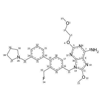 COCCOc1nc(N)c2nc(OC)n(Cc3ccc(-c4cccc(CN5CCCC5)c4)c(CF)c3)c2n1